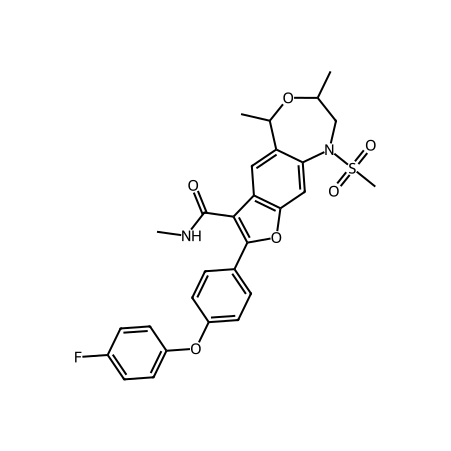 CNC(=O)c1c(-c2ccc(Oc3ccc(F)cc3)cc2)oc2cc3c(cc12)C(C)OC(C)CN3S(C)(=O)=O